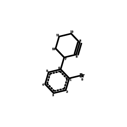 Brc1ccccc1C1C#CCCC1